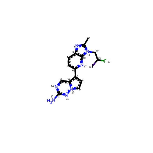 Cc1nc2ccc(-c3ccn4nc(N)ncc34)nc2n1CC(F)I